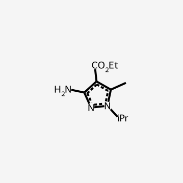 CCOC(=O)c1c(N)nn(C(C)C)c1C